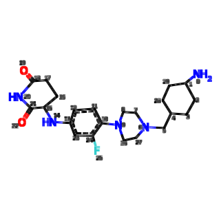 NC1CCC(CN2CCN(c3ccc(NC4CCC(=O)NC4=O)cc3F)CC2)CC1